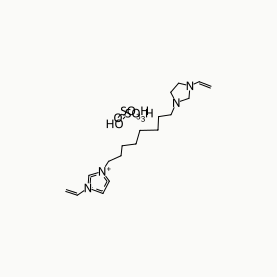 C=CN1CCN(CCCCCCCC[n+]2ccn(C=C)c2)C1.O=S(=O)(O)O.O=S(=O)([O-])O